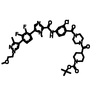 COCCn1cc(-c2ccc(-c3cnc(C(=O)Nc4ccc(C(=O)N5CCN(C(=O)C6CCN(C(=O)OC(C)(C)C)CC6)CC5)c(Cl)c4)n3C)c(F)c2F)c(C)n1